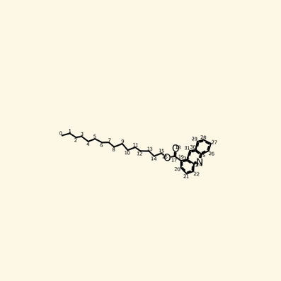 CCCCCCCCCCCCCCCCOC(=O)c1cccc2nc3ccccc3cc12